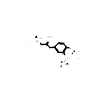 COP(=O)(CC(=O)Cc1ccc(O[Si](C)(C)C(C)(C)C)c(O[Si](C)(C)C(C)(C)C)c1)OC